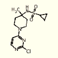 CC1(NS(=O)(=O)C2CC2)CCN(c2ccnc(Cl)n2)CC1